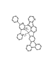 CC1(C)c2cc3c4ccccc4c4ccccc4c3cc2-c2ccc3c4ncccc4n(-c4nc(-c5ccccc5)cc(-c5ccccc5)n4)c3c21